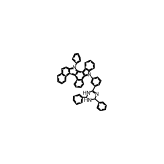 c1ccc(C2N=C(c3cccc(-n4c5ccccc5c5c4c4ccccc4c4c6c7ccccc7ccc6n(-c6ccccc6)c45)c3)NC(c3ccccc3)N2)cc1